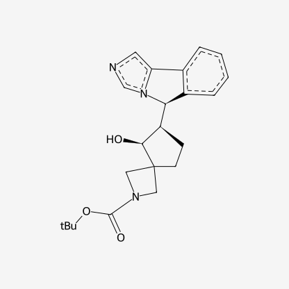 CC(C)(C)OC(=O)N1CC2(CC[C@H]([C@@H]3c4ccccc4-c4cncn43)[C@@H]2O)C1